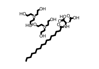 CCCCCCCCCCCCCCCC(=O)N[C@@H](CC(=O)O)C(=O)O.OCCN(CCO)CCO.OCCN(CCO)CCO